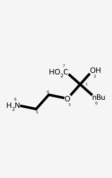 CCCCC(O)(OCCN)C(=O)O